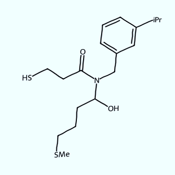 CSCCCC(O)N(Cc1cccc(C(C)C)c1)C(=O)CCS